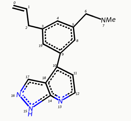 C=CCc1cc(CNC)cc(-c2ccnc3[nH]ncc23)c1